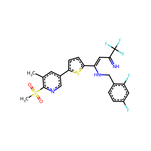 Cc1cc(-c2ccc(/C(=C/C(=N)C(F)(F)F)NCc3ccc(F)cc3F)s2)cnc1S(C)(=O)=O